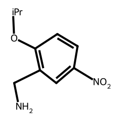 CC(C)Oc1ccc([N+](=O)[O-])cc1CN